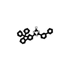 Clc1nc(-c2cccc(-c3ccccc3)c2)nc(-c2ccc3c(c2)C(c2ccccc2)(c2ccccc2)c2ccccc2-3)n1